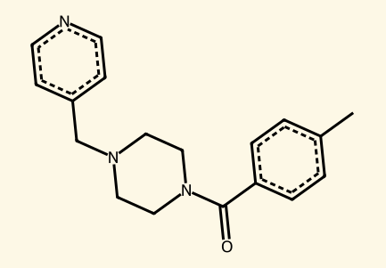 Cc1ccc(C(=O)N2CCN(Cc3ccncc3)CC2)cc1